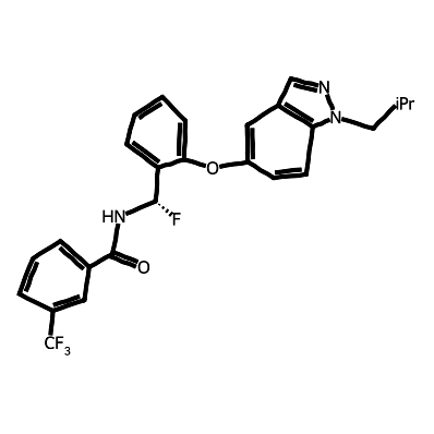 CC(C)Cn1ncc2cc(Oc3ccccc3[C@H](F)NC(=O)c3cccc(C(F)(F)F)c3)ccc21